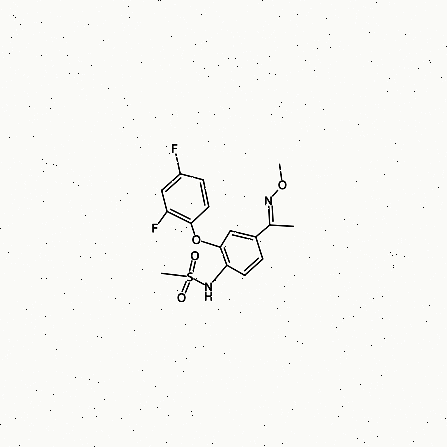 CON=C(C)c1ccc(NS(C)(=O)=O)c(Oc2ccc(F)cc2F)c1